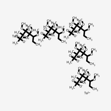 CCC(OC)C(OC)(OC)C(C)(OC)C(C)(C)C(C)([O-])[O-].CCC(OC)C(OC)(OC)C(C)(OC)C(C)(C)C(C)([O-])[O-].CCC(OC)C(OC)(OC)C(C)(OC)C(C)(C)C(C)([O-])[O-].CCC(OC)C(OC)(OC)C(C)(OC)C(C)(C)C(C)([O-])[O-].CCC(OC)C(OC)(OC)C(C)(OC)C(C)(C)C(C)([O-])[O-].[Ta+5].[Ta+5]